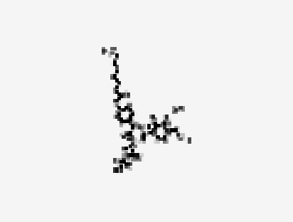 CCCCCCCC(=O)Oc1ccc(C(NC(=O)N2CCN(CC)C(=O)C2=O)C(=O)NC2CN(S(=O)(=O)O)C2=O)cc1.[NaH]